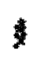 CCN(C(=O)c1cc(C(C)C)c(OCc2ccccc2)cc1OCc1ccccc1)c1cccc(-c2cc(C(=O)NCc3c(C)cc(C)[nH]c3=O)c(C)c(N(CC)C3CCOCC3)c2)c1